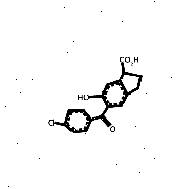 O=C(c1ccc(Cl)cc1)c1cc2c(cc1O)C(C(=O)O)CC2